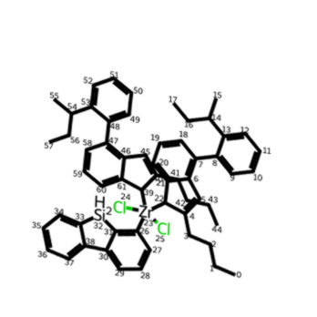 CCCCC1=Cc2c(-c3ccccc3C(C)CC)cccc2[CH]1[Zr]([Cl])([Cl])([c]1cccc2c1[SiH2]c1ccccc1-2)[CH]1C(CCCC)=Cc2c(-c3ccccc3C(C)CC)cccc21